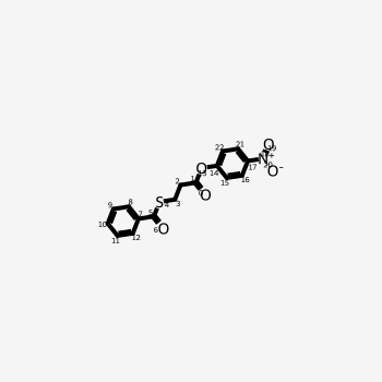 O=C(CCSC(=O)c1ccccc1)Oc1ccc([N+](=O)[O-])cc1